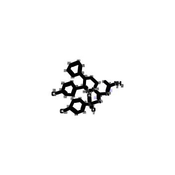 C/C(N)=N\C(=N\S(=O)(=O)c1ccc(Cl)cc1)N1CCC(c2ccccc2)C(c2ccc(Cl)cc2)=N1